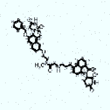 CN(CCOc1ccc2cc(OCc3ccccc3)c(N3CC(=O)NS3(=O)=O)c(F)c2c1)C(=O)CNCCCc1ccc2c3c(cccc13)C(=O)N2C1CCC(=O)NC1=O